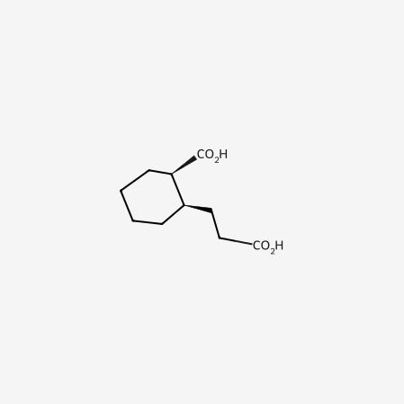 O=C(O)CC[C@H]1CCCC[C@H]1C(=O)O